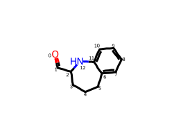 O=CC1CCCc2ccccc2N1